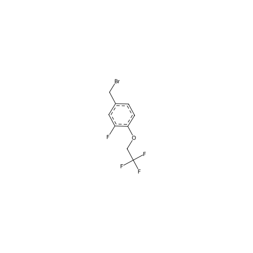 Fc1cc(CBr)ccc1OCC(F)(F)F